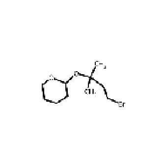 CC(C)(CCBr)OC1CCCCO1